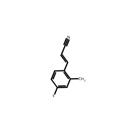 Cc1cc(F)ccc1/C=C/C#N